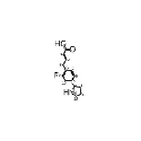 O=C(O)/C=C/Cc1ccc([C@@H]2CCCN2)cc1F